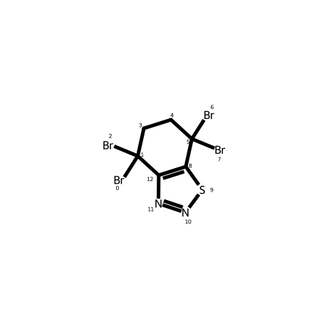 BrC1(Br)CCC(Br)(Br)c2snnc21